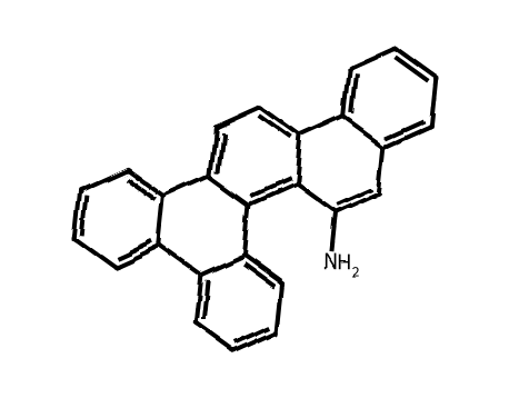 Nc1cc2ccccc2c2ccc3c4ccccc4c4ccccc4c3c12